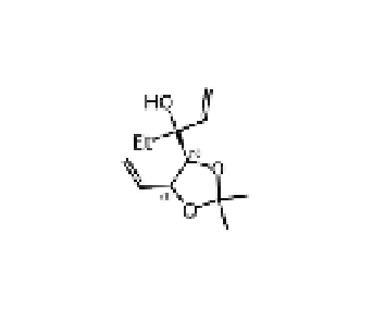 C=C[C@@H]1OC(C)(C)O[C@@H]1C(O)(C=C)CC